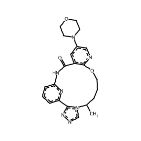 CC1CCCOc2ncc(N3CCOCC3)cc2C(=O)Nc2cccc(n2)-c2nncn21